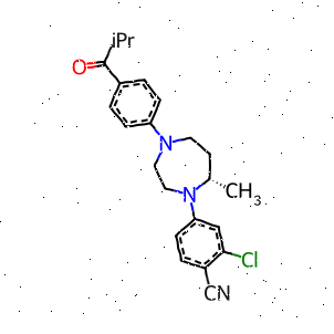 CC(C)C(=O)c1ccc(N2CC[C@H](C)N(c3ccc(C#N)c(Cl)c3)CC2)cc1